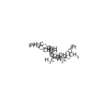 CC(C)c1ccc2c(c1)CCC1C(C)(CCC(O)COCC(C)(C)COCC(O)CC(OO)C3(C)CCCC4(C)c5ccc(C(C)C)cc5CCC43)CCCC21C